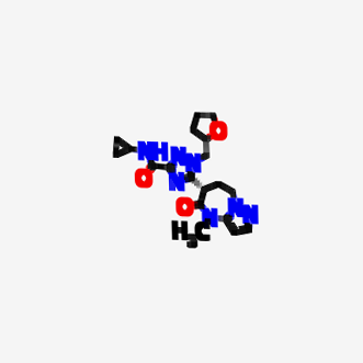 CN1C(=O)[C@H](c2nc(C(=O)NC3CC3)nn2CC2CCCO2)CCn2nccc21